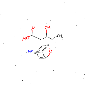 CCC(O)CC(=O)O.N#Cc1c2cccc1O2